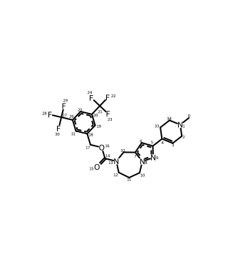 CN1CC=C(c2cc3n(n2)CCCN(C(=O)OCc2cc(C(F)(F)F)cc(C(F)(F)F)c2)C3)CC1